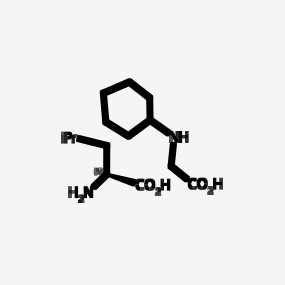 CC(C)C[C@H](N)C(=O)O.O=C(O)CNC1CCCCC1